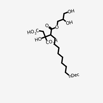 CCCCCCCCCCCCCCCCCCC(C(=O)OCC(O)CO)C(O)(CC(=O)O)C(=O)O